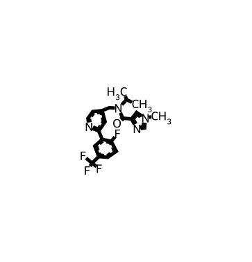 CC(C)N(Cc1ccnc(-c2cc(C(F)(F)F)ccc2F)c1)C(=O)c1cn(C)cn1